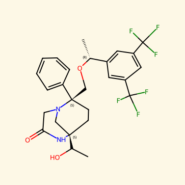 CC(O)[C@@]12CC[C@@](CO[C@H](C)c3cc(C(F)(F)F)cc(C(F)(F)F)c3)(c3ccccc3)N(CC(=O)N1)C2